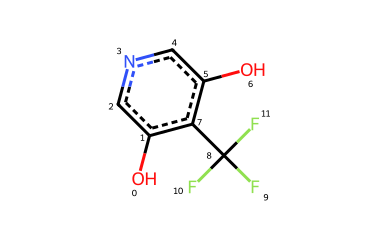 Oc1cncc(O)c1C(F)(F)F